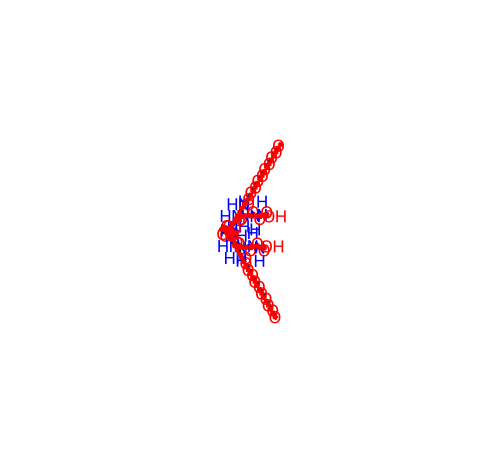 COCCOCCOCCOCCOCCOCCOCCOCCOCCOCC(=O)NCCCC[C@H](NC(=O)CCCNC(=O)[C@H]([C@@H](C(=O)NCCCC(=O)N[C@@H](CCCCNC(=O)COCCOCCOCCOCCOCCOCCOCCOCCOCCOC)C(=O)NCCCC(=O)NCC(=O)NCC(=O)O)N1C(=O)C=CC1=O)N1C(=O)C=CC1=O)C(=O)NCCCC(=O)NCC(=O)NCC(=O)O